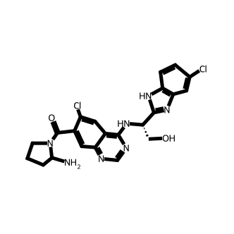 NC1CCCN1C(=O)c1cc2ncnc(N[C@@H](CO)c3nc4cc(Cl)ccc4[nH]3)c2cc1Cl